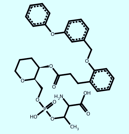 CC(OP(=O)(O)OC[C@H]1OCCC[C@H]1OC(=O)CCc1ccccc1OCc1cccc(Oc2ccccc2)c1)C(N)C(=O)O